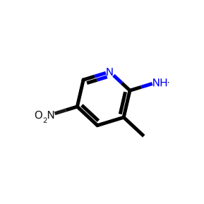 Cc1cc([N+](=O)[O-])cnc1[NH]